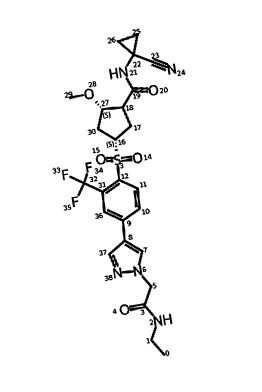 CCNC(=O)Cn1cc(-c2ccc(S(=O)(=O)[C@H]3CC(C(=O)NC4(C#N)CC4)[C@@H](OC)C3)c(C(F)(F)F)c2)cn1